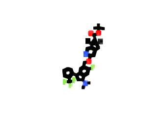 CN(C)[C@@H]1C[C@@H](c2ccccc2C(F)(F)F)c2cc(COc3cc4c(cn3)[C@H]3[C@@H](C4)[C@@H]3C(=O)OC(C)(C)C)c(F)cc21